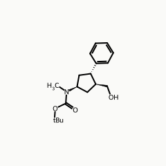 CN(C(=O)OC(C)(C)C)[C@@H]1C[C@H](CO)[C@@H](c2ccccc2)C1